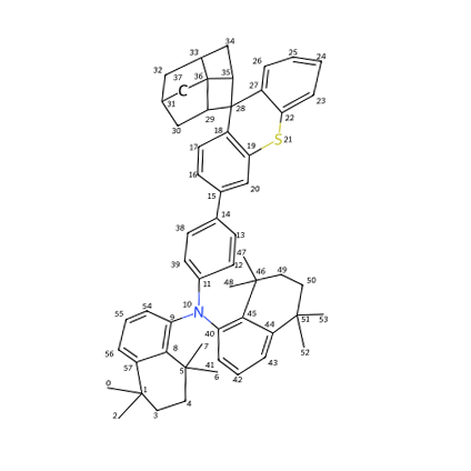 CC1(C)CCC(C)(C)c2c(N(c3ccc(-c4ccc5c(c4)Sc4ccccc4C54C5CC6CC7CC4C75C6)cc3)c3cccc4c3C(C)(C)CCC4(C)C)cccc21